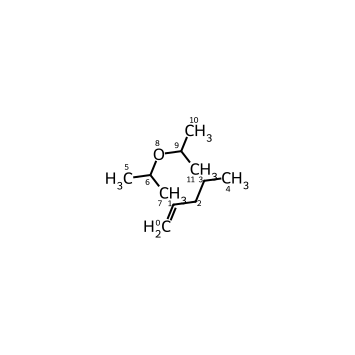 C=CCCC.CC(C)OC(C)C